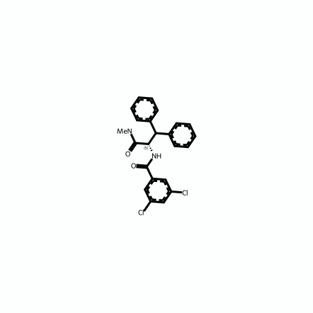 CNC(=O)[C@@H](NC(=O)c1cc(Cl)cc(Cl)c1)C(c1ccccc1)c1ccccc1